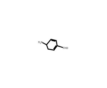 O=[C]C1=CCC([N+](=O)[O-])C=C1